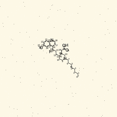 CCCCSCCCN1CC[C@@H](CC[C@H](F)c2ccnc3ccc(OC)cc23)[C@@H](CC(=O)O)C1